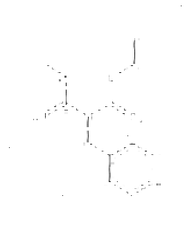 CCOC(=O)C(Cc1ccccc1)C(=O)NC